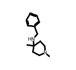 CN1CCC(C)(NCc2ccccc2)CC1